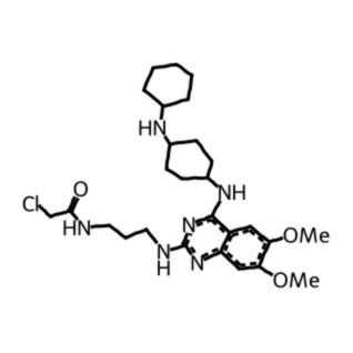 COc1cc2nc(NCCCNC(=O)CCl)nc(NC3CCC(NC4CCCCC4)CC3)c2cc1OC